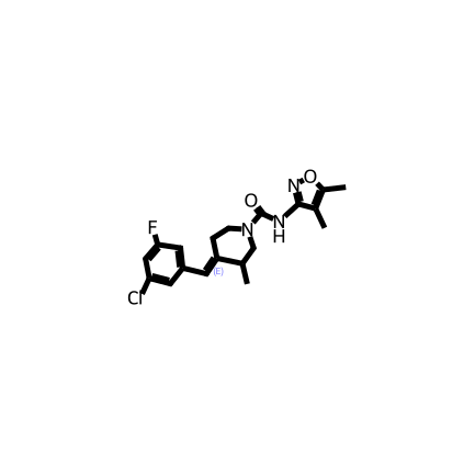 Cc1onc(NC(=O)N2CC/C(=C\c3cc(F)cc(Cl)c3)C(C)C2)c1C